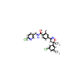 Cc1cc(C2=NOC(c3cc(Cl)cc(C(F)(F)F)c3)(C(F)(F)F)C2)ccc1C(=O)NCc1ccc(Cl)nc1